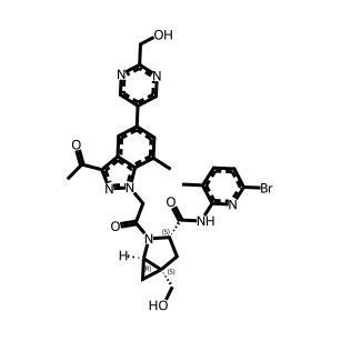 CC(=O)c1nn(CC(=O)N2[C@H](C(=O)Nc3nc(Br)ccc3C)C[C@@]3(CO)C[C@@H]23)c2c(C)cc(-c3cnc(CO)nc3)cc12